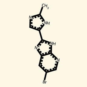 Cc1ncc(-c2nc3cc(Br)cnc3[nH]2)[nH]1